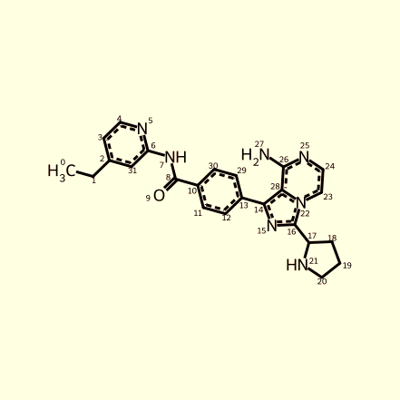 CCc1ccnc(NC(=O)c2ccc(-c3nc(C4CCCN4)n4ccnc(N)c34)cc2)c1